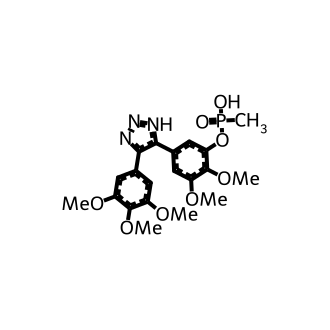 COc1cc(-c2nn[nH]c2-c2cc(OC)c(OC)c(OP(C)(=O)O)c2)cc(OC)c1OC